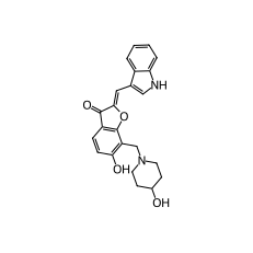 O=C1/C(=C/c2c[nH]c3ccccc23)Oc2c1ccc(O)c2CN1CCC(O)CC1